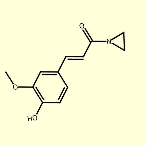 COc1cc(C=CC(=O)N2CC2)ccc1O